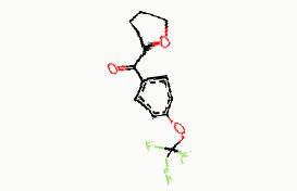 O=C(c1ccc(OC(F)(F)F)cc1)C1CCCO1